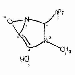 CCCC1N(C)C=C2ON21.Cl